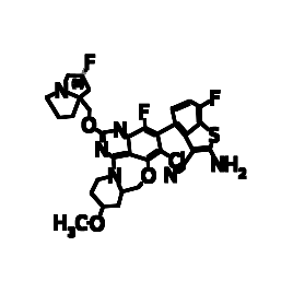 COC1CCN2c3nc(OCC45CCCN4C[C@H](F)C5)nc4c(F)c(-c5ccc(F)c6sc(N)c(C#N)c56)c(Cl)c(c34)OCC2C1